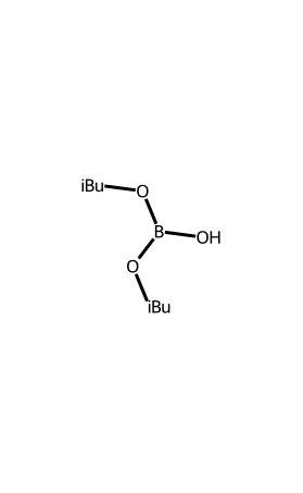 CCC(C)OB(O)OC(C)CC